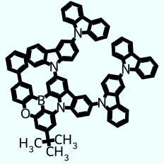 CC(C)(C)c1cc2c3c(c1)-n1c4ccc(-n5c6ccccc6c6cc(-n7c8ccccc8c8ccccc87)ccc65)cc4c4cc(-n5c6ccccc6c6cc(-n7c8ccccc8c8ccccc87)ccc65)cc(c41)B3c1cc(-c3ccccc3)ccc1O2